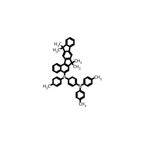 Cc1ccc(N(C2=CCC(N(C3=CCC(C)C=C3)c3cc4c(c5ccccc35)-c3cc5c(cc3C4(C)C)-c3ccccc3C5(C)C)C=C2)c2ccc(C)cc2)cc1